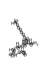 CC(=O)O[C@@H](C)/C=C\C(=O)N[C@@H]1C[C@H](C)[C@H](C/C=C(C)/C=C/[C@H]2O[C@H](CC(=O)N[C@H]3CC[C@H](NC(=O)OCc4ccc(NC(=O)[C@H](CCCNC(N)=O)NC(=O)[C@@H](NC(=O)CCOCCOCCOCCOCCOCCOCCNC(=O)CI)C(C)C)cc4)CC3)C[C@@]3(CO3)[C@@H]2O)O[C@@H]1C